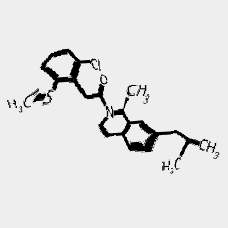 CSc1cccc(Cl)c1CC(=O)N1CCc2ccc(CC(C)C)cc2[C@@H]1C